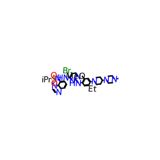 CCc1cc(Nc2ncc(Br)c(Nc3ccc4nccnc4c3N(C)S(=O)(=O)C(C)C)n2)c(OC)cc1N1CCC(N2CCN(C)CC2)CC1